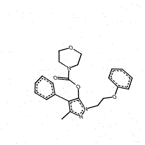 Cc1nn(CCOc2ccccc2)c(OC(=O)N2CCOCC2)c1-c1ccccc1